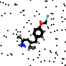 CC(=O)[C@@H](N)C[C@H](Cc1ccc(OCF)cc1)C(=O)O